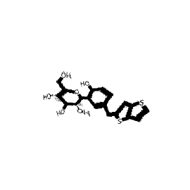 OCC1OC(c2cc(Cc3cc4sccc4s3)ccc2O)[C@H](O)C(O)[C@@H]1O